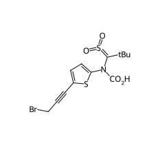 CC(C)(C)C(N(C(=O)O)c1ccc(C#CCBr)s1)=S(=O)=O